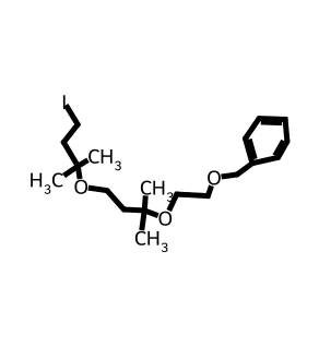 CC(C)(CCI)OCCC(C)(C)OCCOCc1ccccc1